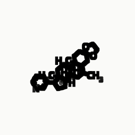 CC1=C2CC3(CC[C@]2(C)[C@H]2CC[C@]4(C)C(c5cccnc5)CC[C@H]4[C@@H]2C1)OCCO3